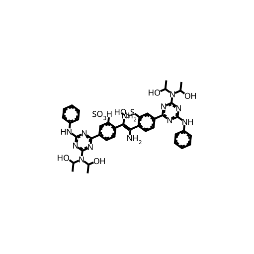 CC(O)N(c1nc(Nc2ccccc2)nc(-c2ccc(C(N)=C(N)c3ccc(-c4nc(Nc5ccccc5)nc(N(C(C)O)C(C)O)n4)cc3S(=O)(=O)O)c(S(=O)(=O)O)c2)n1)C(C)O